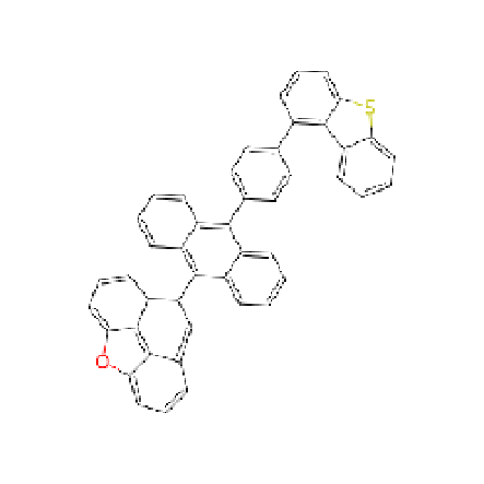 C1=CC2c3c(oc4cccc(c34)=CC2c2c3ccccc3c(-c3ccc(-c4cccc5sc6ccccc6c45)cc3)c3ccccc23)=C1